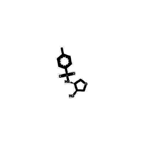 Cc1ccc(S(=O)(=O)N[C@@H]2COC[C@H]2O)cc1